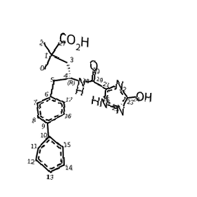 CC(C)(C[C@@H](Cc1ccc(-c2ccccc2)cc1)NC(=O)c1nc(O)n[nH]1)C(=O)O